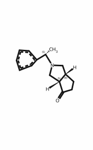 C[C@@H](c1ccccc1)N1C[C@@H]2CCC(=O)[C@@H]2C1